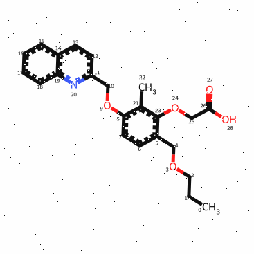 CCCOCc1ccc(OCc2ccc3ccccc3n2)c(C)c1OCC(=O)O